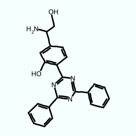 NC(CO)c1ccc(-c2nc(-c3ccccc3)nc(-c3ccccc3)n2)c(O)c1